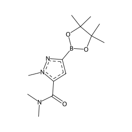 CN(C)C(=O)c1cc(B2OC(C)(C)C(C)(C)O2)nn1C